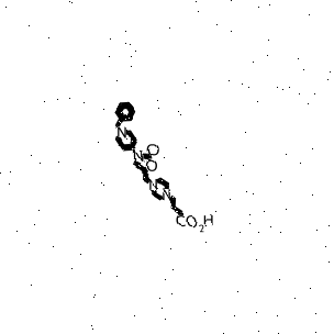 O=C(O)CCCN1CCN(CC2CN(C3CCN(Cc4ccccc4)CC3)C(=O)O2)CC1